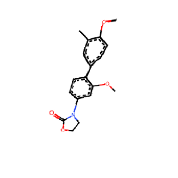 COc1ccc(-c2ccc(N3CCOC3=O)cc2OC)cc1C